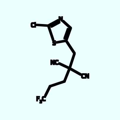 N#CC(C#N)(CCC(F)(F)F)Cc1cnc(Cl)s1